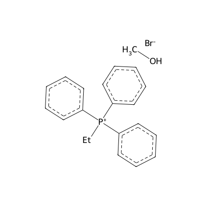 CC[P+](c1ccccc1)(c1ccccc1)c1ccccc1.CO.[Br-]